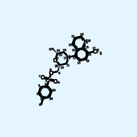 Cc1ccc(S(=O)(=O)OC[C@H]2CN(c3ccc(C(F)(F)F)c4ncccc34)C[C@@H](C)O2)cc1